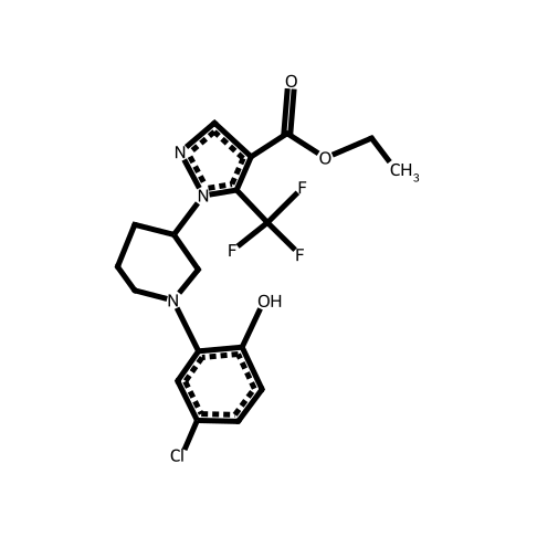 CCOC(=O)c1cnn(C2CCCN(c3cc(Cl)ccc3O)C2)c1C(F)(F)F